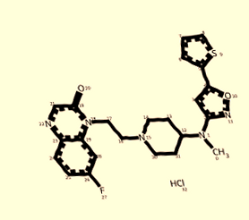 CN(c1cc(-c2cccs2)on1)C1CCN(CCn2c(=O)cnc3ccc(F)cc32)CC1.Cl